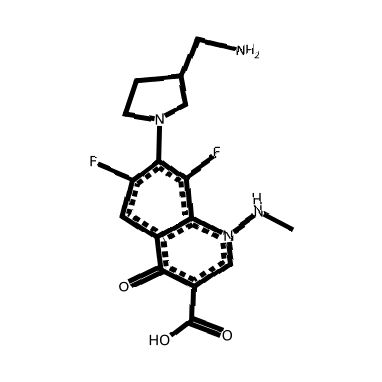 CNn1cc(C(=O)O)c(=O)c2cc(F)c(N3CCC(CN)C3)c(F)c21